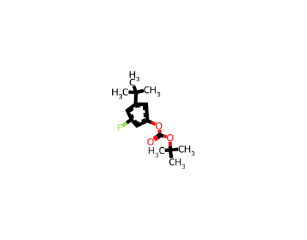 CC(C)(C)OC(=O)Oc1cc(F)cc(C(C)(C)C)c1